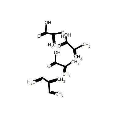 C=C(C)C(=O)O.C=C(C)C(=O)O.C=C(C)C(=O)O.C=CC(=C)C=C